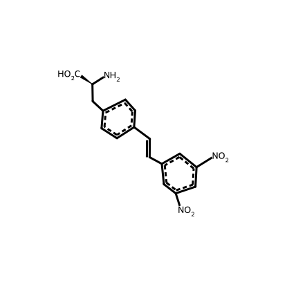 N[C@@H](Cc1ccc(/C=C/c2cc([N+](=O)[O-])cc([N+](=O)[O-])c2)cc1)C(=O)O